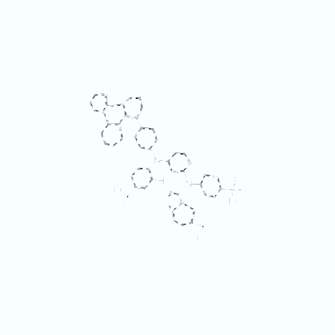 CCC(C)(C)c1ccc(N2c3cccc4c3B(c3cc(C(C)(C)CC)ccc3N4c3ccc(-c4cccc5c6ccccc6c6ccccc6c45)cc3)c3sc4ccc(C(C)(C)CC)cc4c32)cc1